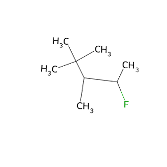 CC(F)C(C)C(C)(C)C